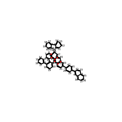 c1ccc(-c2ccccc2-c2c(-c3ccccc3)cccc2N(c2ccc(-c3ccc(-c4ccc5ccccc5c4)cc3)cc2)c2ccc(-n3c4ccccc4c4ccccc43)cc2)cc1